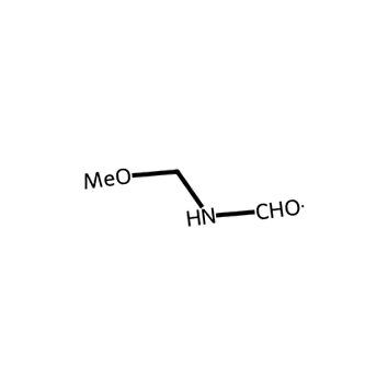 COCN[C]=O